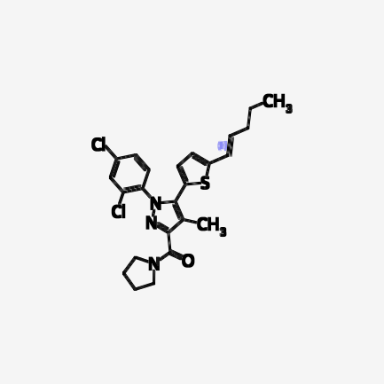 CCC/C=C/c1ccc(-c2c(C)c(C(=O)N3CCCC3)nn2-c2ccc(Cl)cc2Cl)s1